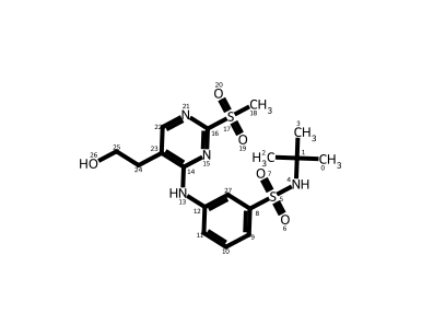 CC(C)(C)NS(=O)(=O)c1cccc(Nc2nc(S(C)(=O)=O)ncc2CCO)c1